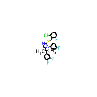 CC(C)(c1ccc(F)c(F)c1)c1cnc(SCc2c(F)cccc2Cl)n1-c1ccc(F)cc1